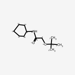 CC(C)(C)OCC(=O)NC1CCCCC1